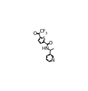 CC(NC(=O)c1ccc(C(=O)C(F)(F)F)s1)c1cccnc1